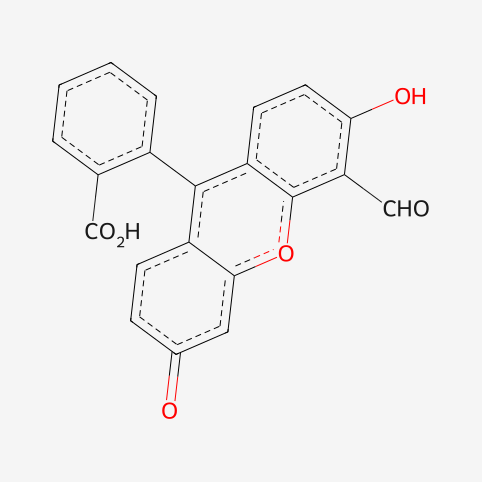 O=Cc1c(O)ccc2c(-c3ccccc3C(=O)O)c3ccc(=O)cc-3oc12